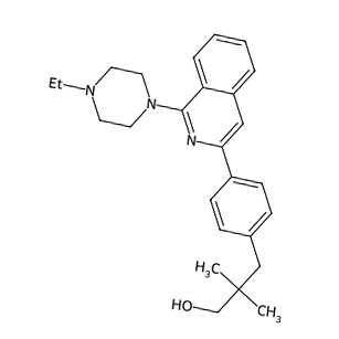 CCN1CCN(c2nc(-c3ccc(CC(C)(C)CO)cc3)cc3ccccc23)CC1